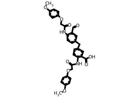 COc1ccc(OCC(=O)Nc2ccc(Cc3ccc(NC(=O)COc4ccc(OC)cc4)c(C(=O)O)c3)cc2C=O)cc1